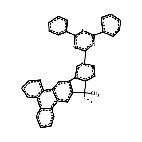 CC1(C)c2ccc(-c3nc(-c4ccccc4)nc(-c4ccccc4)n3)cc2-c2cc3c4ccccc4c4ccccc4c3cc21